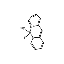 F[B-]1([18F])N2C=CC=CC2=Nc2cccc[n+]21